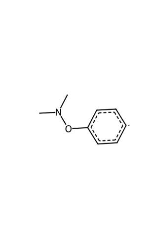 CN(C)Oc1cc[c]cc1